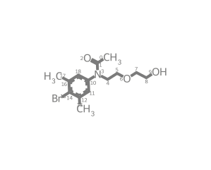 CC(=O)N(CCOCCO)c1cc(C)c(Br)c(C)c1